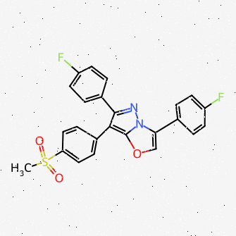 CS(=O)(=O)c1ccc(-c2c(-c3ccc(F)cc3)nn3c(-c4ccc(F)cc4)coc23)cc1